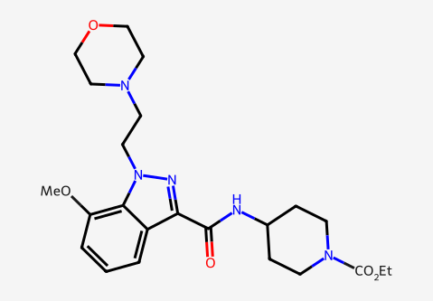 CCOC(=O)N1CCC(NC(=O)c2nn(CCN3CCOCC3)c3c(OC)cccc23)CC1